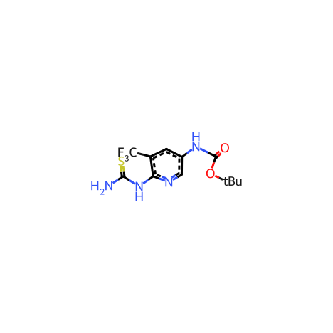 CC(C)(C)OC(=O)Nc1cnc(NC(N)=S)c(C(F)(F)F)c1